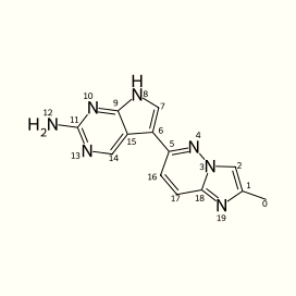 Cc1cn2nc(-c3c[nH]c4nc(N)ncc34)ccc2n1